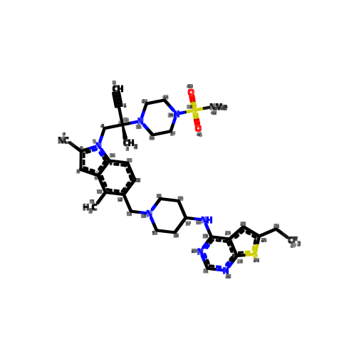 C#C[C@@](C)(Cn1c(C#N)cc2c(C)c(CN3CCC(Nc4ncnc5sc(CC(F)(F)F)cc45)CC3)ccc21)N1CCN(S(=O)(=O)NC)CC1